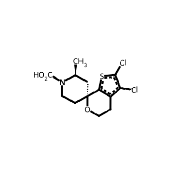 C[C@H]1C[C@@]2(CCN1C(=O)O)OCCc1c2sc(Cl)c1Cl